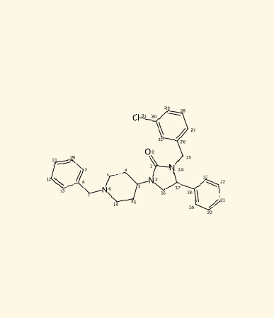 O=C1N(C2CCN(Cc3ccccc3)CC2)CC(c2ccccc2)N1Cc1cccc(Cl)c1